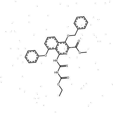 CCOC(=O)NC(=S)Nc1nc(C(=O)OC)c(OCc2ccccc2)c2cccc(Oc3ccccc3)c12